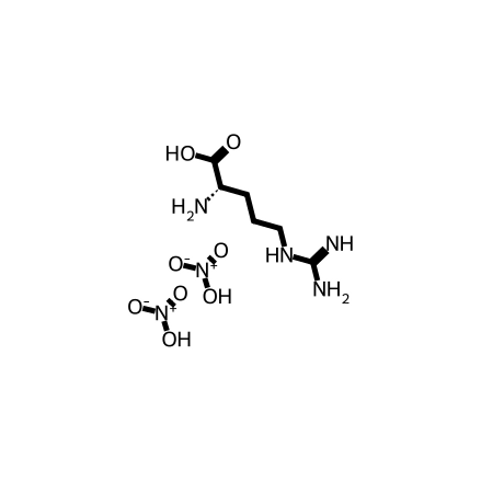 N=C(N)NCCC[C@H](N)C(=O)O.O=[N+]([O-])O.O=[N+]([O-])O